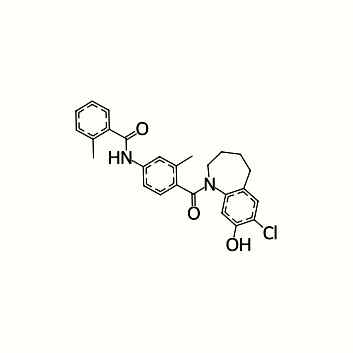 Cc1ccccc1C(=O)Nc1ccc(C(=O)N2CCCCc3cc(Cl)c(O)cc32)c(C)c1